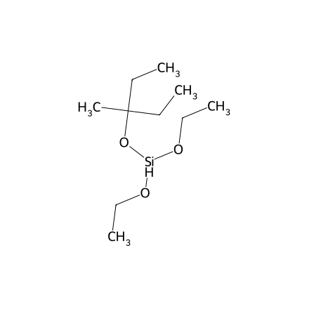 CCO[SiH](OCC)OC(C)(CC)CC